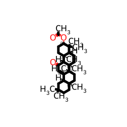 CC(=O)O[C@H]1CC[C@]2(C)[C@H]3C(=O)C=C4[C@@H]5CC(C)(C)CC[C@]5(C)CC[C@@]4(C)[C@]3(C)CC[C@H]2C1(C)C